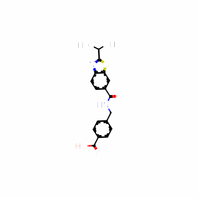 CC(C)c1nc2ccc(C(=O)NCc3ccc(C(=O)O)cc3)cc2s1